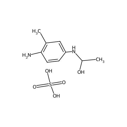 Cc1cc(NC(C)O)ccc1N.O=S(=O)(O)O